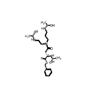 CB(O)NCCCN(CCNB(C)O)C(=O)C[C@H](NB(C)O)C(=O)OCc1ccccc1